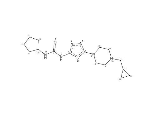 O=C(Nc1nnc(N2CCN(CC3CC3)CC2)s1)NC1CCCC1